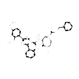 COc1ccc(-c2nc3c4ccccc4nc(N[C@@H]4CN(C(=O)OCc5ccccc5)CCNC4=O)n3n2)c(C)c1